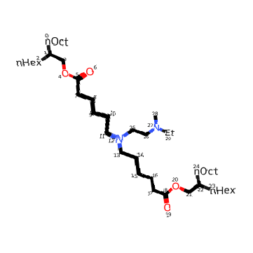 CCCCCCCCC(CCCCCC)COC(=O)CCCCCN(CCCCCC(=O)OCC(CCCCCC)CCCCCCCC)CCN(C)CC